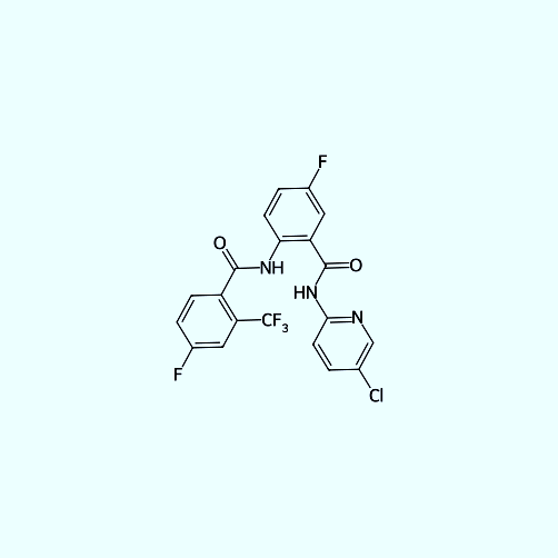 O=C(Nc1ccc(Cl)cn1)c1cc(F)ccc1NC(=O)c1ccc(F)cc1C(F)(F)F